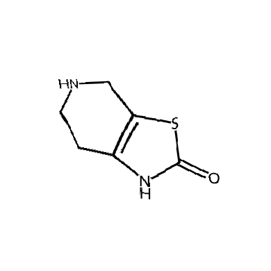 O=c1[nH]c2c(s1)CNCC2